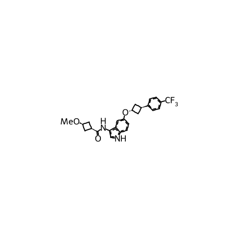 CO[C@H]1C[C@@H](C(=O)Nc2c[nH]c3ccc(O[C@H]4C[C@H](c5ccc(C(F)(F)F)cc5)C4)cc23)C1